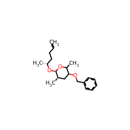 C=CCC[C@@H](C)O[C@H]1OC(C)[C@@H](OCc2ccccc2)C[C@H]1C